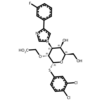 O=C(O)CO[C@@H]1[C@@H](n2cnc(-c3cccc(F)c3)c2)[C@@H](O)[C@@H](CO)O[C@@H]1Sc1ccc(Cl)c(Cl)c1